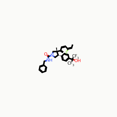 C=C(/C=C\C(F)=C/C)[C@@]1(C)CN(C(=O)NCc2ccccc2)C[C@H]1c1ccc(C(O)(C(F)(F)F)C(F)(F)F)cc1